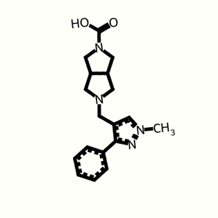 Cn1cc(CN2CC3CN(C(=O)O)CC3C2)c(-c2ccccc2)n1